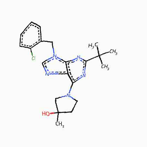 CC1(O)CCN(c2nc(C(C)(C)C)nc3c2ncn3Cc2ccccc2Cl)C1